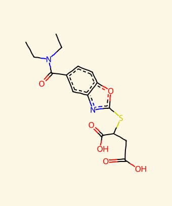 CCN(CC)C(=O)c1ccc2oc(SC(CC(=O)O)C(=O)O)nc2c1